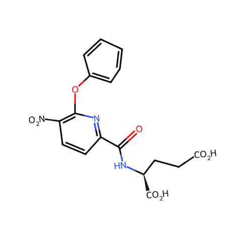 O=C(O)CC[C@H](NC(=O)c1ccc([N+](=O)[O-])c(Oc2ccccc2)n1)C(=O)O